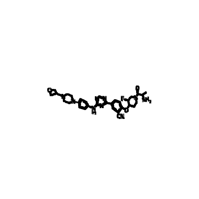 CC(N)C(=O)N1CCC(Oc2ccc(-c3ncnc(Nc4ccc(N5CCN(C6COC6)CC5)cc4)n3)cc2C#N)C(F)C1